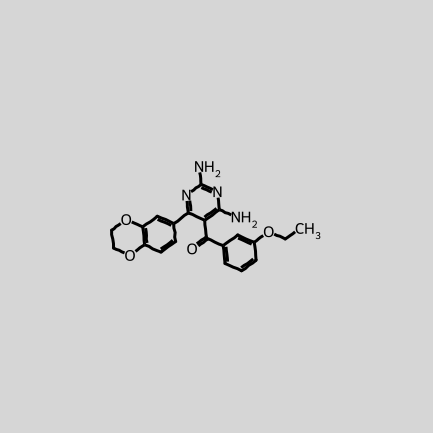 CCOc1cccc(C(=O)c2c(N)nc(N)nc2-c2ccc3c(c2)OCCO3)c1